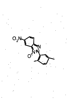 Cc1ccc(C)c(-n2nc3ccc([N+](=O)[O-])cc3[n+]2[O-])c1